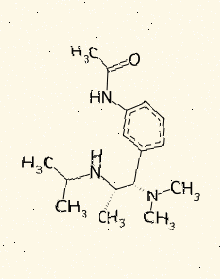 CC(=O)Nc1cccc([C@@H]([C@H](C)NC(C)C)N(C)C)c1